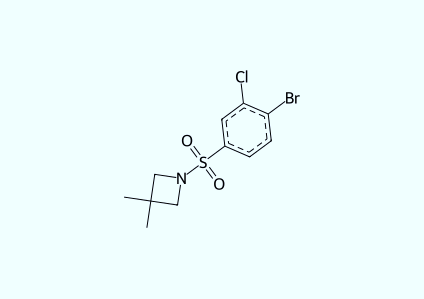 CC1(C)CN(S(=O)(=O)c2ccc(Br)c(Cl)c2)C1